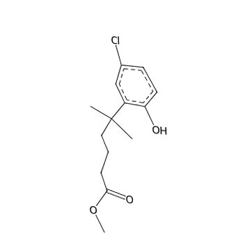 COC(=O)CCCC(C)(C)c1cc(Cl)ccc1O